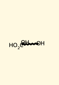 O=C(O)C(O)CCCCCCCCCO